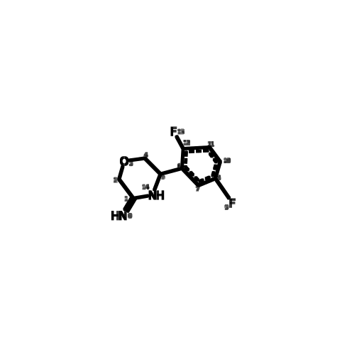 N=C1COCC(c2cc(F)ccc2F)N1